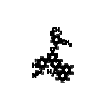 CO[C@@H]1C[C@H](COc2nc3c(c(C4CCN[C@@H](CC#N)C4)n2)CCN(c2cccc4cccc(C)c24)C3)N(C)C1